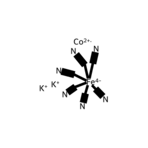 N#[C][Fe-4]([C]#N)([C]#N)([C]#N)([C]#N)[C]#N.[Co+2].[K+].[K+]